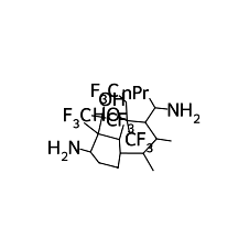 CCCC(N)C(C(C)C(C)C1CCC(N)C(C)(C(O)(C(F)(F)F)C(F)(F)F)C1C)C(O)(CC(F)(F)F)C(F)(F)F